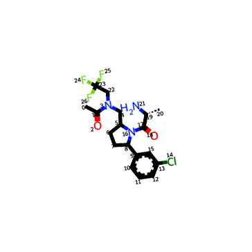 CC(=O)N(CC1CCC(c2cccc(Cl)c2)N1C(=O)[C@@H](C)N)CC(F)(F)F